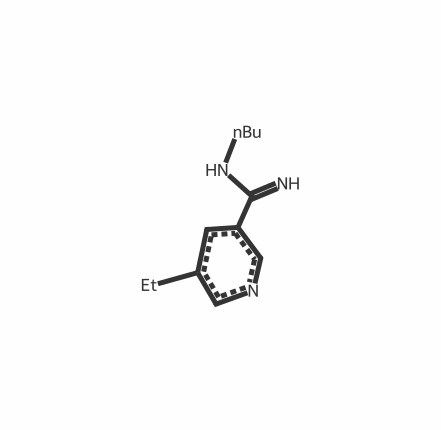 CCCCNC(=N)c1cncc(CC)c1